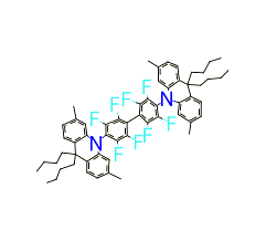 CCCCC1(CCCC)c2ccc(C)cc2N(c2c(F)c(F)c(-c3c(F)c(F)c(N4c5cc(C)ccc5C(CCCC)(CCCC)c5ccc(C)cc54)c(F)c3F)c(F)c2F)c2cc(C)ccc21